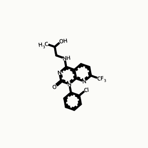 CC(O)CNc1nc(=O)n(-c2ccccc2Cl)c2nc(C(F)(F)F)ccc12